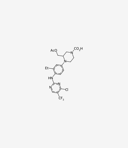 CCc1cc(N2CCN(C(=O)O)CC2COC(C)=O)ccc1Nc1ncc(C(F)(F)F)c(Cl)n1